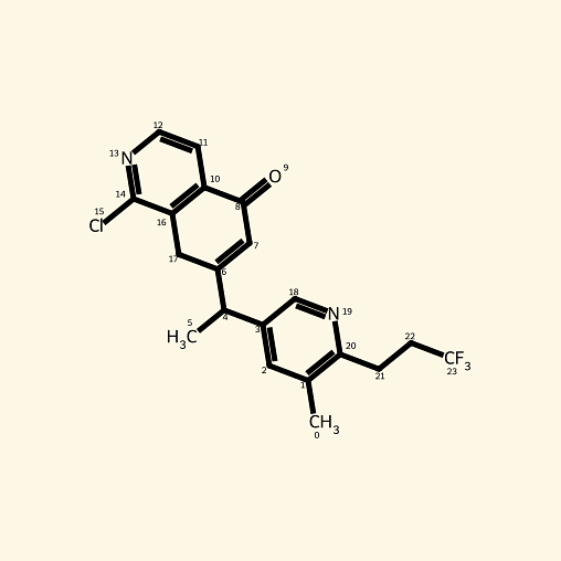 Cc1cc(C(C)C2=CC(=O)c3ccnc(Cl)c3C2)cnc1CCC(F)(F)F